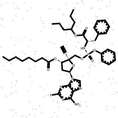 C#C[C@]1(CO[P@@](=O)(N[C@@H](Cc2ccccc2)C(=O)OC(CCC)CCC)Oc2ccccc2)O[C@@H](n2cnc3c(N)nc(F)nc32)C[C@@H]1OC(=O)CCCCCCC